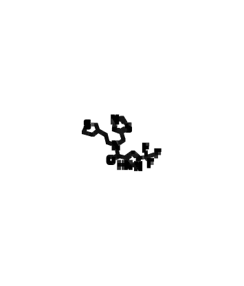 O=C(c1cc(C(F)(F)F)n[nH]1)N(CCC1CCSC1)Cc1cncs1